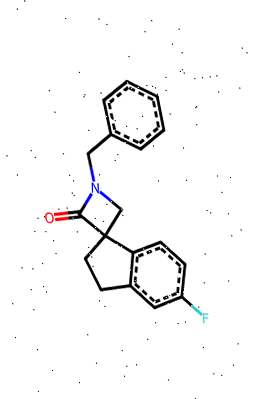 O=C1N(Cc2ccccc2)CC12CCc1cc(F)ccc12